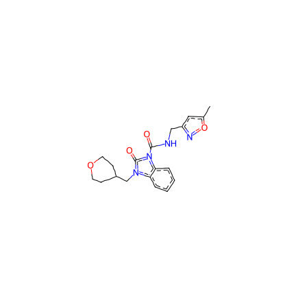 Cc1cc(CNC(=O)n2c(=O)n(CC3CCOCC3)c3ccccc32)no1